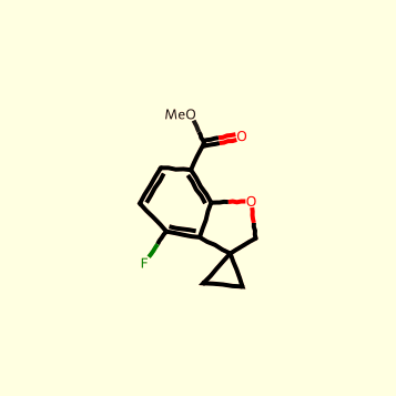 COC(=O)c1ccc(F)c2c1OCC21CC1